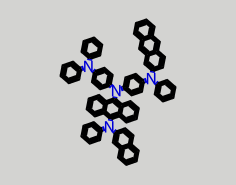 c1ccc(N(c2ccccc2)c2ccc(N(c3ccc(N(c4ccccc4)c4ccc5cc6ccccc6cc5c4)cc3)c3c4ccccc4c(N(c4ccccc4)c4ccc5ccccc5c4)c4ccccc34)cc2)cc1